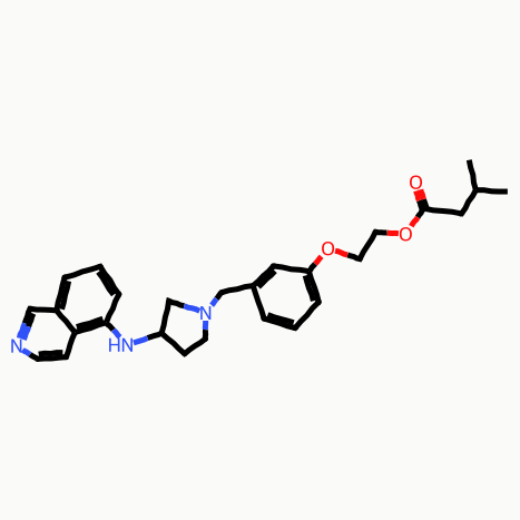 CC(C)CC(=O)OCCOc1cccc(CN2CCC(Nc3cccc4cnccc34)C2)c1